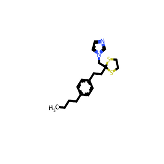 CCCCc1ccc(CCC2(Cn3ccnc3)SCCS2)cc1